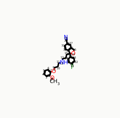 COc1ccccc1OCCCNCCCC1(c2ccc(F)cc2)OCc2cc(C#N)ccc21